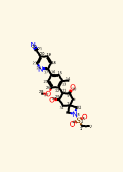 CCS(=O)(=O)N1CC2(CC(=O)C(c3c(C)cc(-c4ccc(C#N)cn4)cc3OC)C(=O)C2)C1